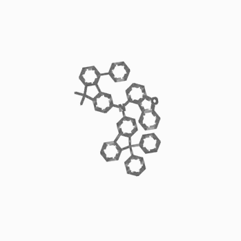 CC1(C)c2ccc(N(c3ccc4c(c3)-c3ccccc3C4(c3ccccc3)c3ccccc3)c3cccc4oc5ccccc5c34)cc2-c2c(-c3ccccc3)cccc21